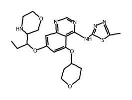 CCC(Oc1cc(OC2CCOCC2)c2c(Nc3nnc(C)s3)ncnc2c1)C1COCCN1